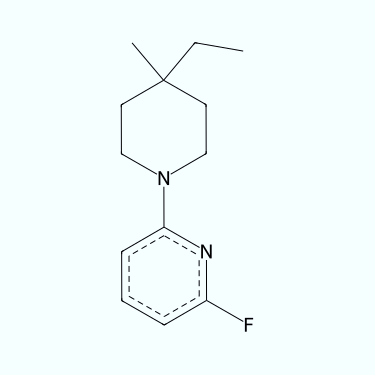 CCC1(C)CCN(c2cccc(F)n2)CC1